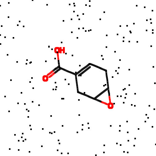 O=C(O)C1=CCC2OC2C1